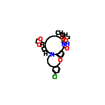 C[C@@H]1[C@@H](C)CCC[C@H](C2OCCO2)[C@@H]2CC[C@H]2CN2CCCCc3cc(Cl)ccc3COc3ccc(cc32)C(=O)NS1(=O)=O